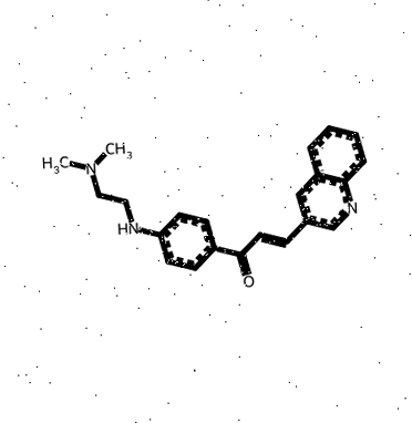 CN(C)CCNc1ccc(C(=O)C=Cc2cnc3ccccc3c2)cc1